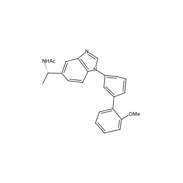 COc1ccccc1-c1cccc(-n2cnc3cc([C@H](C)NC(C)=O)ccc32)c1